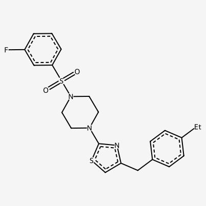 CCc1ccc(Cc2csc(N3CCN(S(=O)(=O)c4cccc(F)c4)CC3)n2)cc1